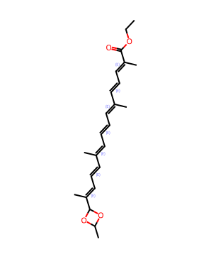 CCOC(=O)/C(C)=C/C=C/C(C)=C/C=C/C=C(C)/C=C/C=C(\C)C1OC(C)O1